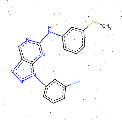 CSc1cccc(Nc2ncc3nnn(-c4cccc(F)c4)c3n2)c1